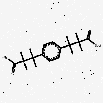 CC(C)(C)C(=O)C(C)(C)C(C)(C)c1ccc(C(C)(C)C(C)(C)C(=O)C(C)(C)C)cc1